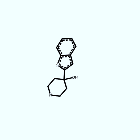 OC1(c2cc3ccccc3s2)CC[N]CC1